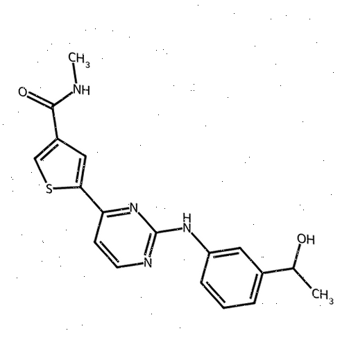 CNC(=O)c1csc(-c2ccnc(Nc3cccc(C(C)O)c3)n2)c1